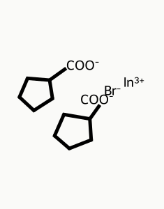 O=C([O-])C1CCCC1.O=C([O-])C1CCCC1.[Br-].[In+3]